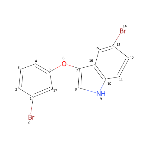 Brc1cccc(Oc2c[nH]c3ccc(Br)cc23)c1